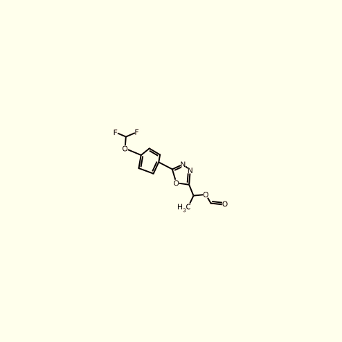 CC(OC=O)c1nnc(-c2ccc(OC(F)F)cc2)o1